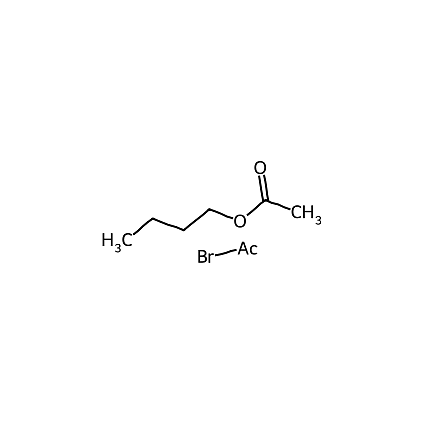 CC(=O)Br.CCCCOC(C)=O